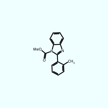 COC(=O)n1c(-c2ccccc2C)nc2ccccc21